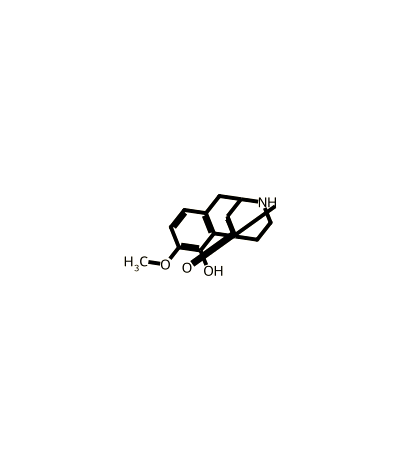 COc1ccc2c(c1O)C13CCNC(C2)C1CCC(=O)C3